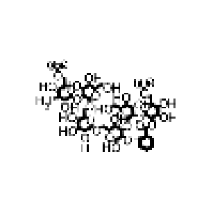 O=C(O[C@@H]1C(O)[C@H](O)C(COP(=O)=O)O[C@@H]1OC1C(O)[C@H](O)C(CO)O[C@@H]1OC1[C@H](O)C(CO[C@H]2OC(CO[C@H]3OC(CO)[C@@H](O)C(O)C3O[C@H]3OC(COP(=O)=O)[C@@H](O)C(P)[C@H]3O)[C@@H](O)C(O)[C@H]2O)O[C@@H](O)[C@@H]1O)c1ccccc1